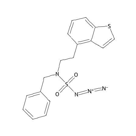 [N-]=[N+]=NS(=O)(=O)N(CCc1cccc2sccc12)Cc1ccccc1